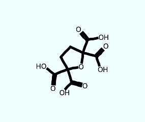 O=C(O)C1(C(=O)O)CCC(C(=O)O)(C(=O)O)O1